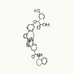 O=C(NC1CCCc2ccccc21)c1ccc2c(c1)nnn2Cc1cc(OC(C(=O)O)c2cccc(O)c2)ccc1Cl